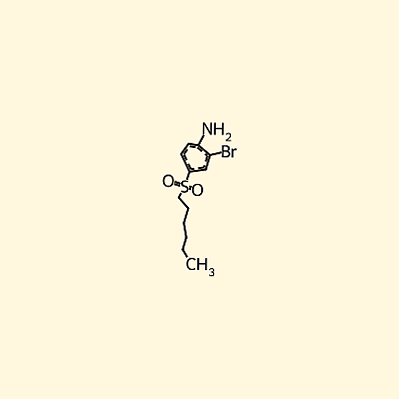 CCCCCCS(=O)(=O)c1ccc(N)c(Br)c1